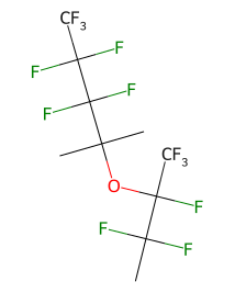 CC(F)(F)C(F)(OC(C)(C)C(F)(F)C(F)(F)C(F)(F)F)C(F)(F)F